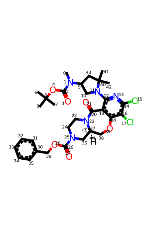 CN(C(=O)OC(C)(C)C)C1CN(c2nc(Cl)c(Cl)c3c2C(=O)N2CCN(C(=O)OCc4ccccc4)C[C@@H]2CO3)C(C)(C)C1